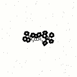 CC1(C)c2cc(-c3cc4c(-c5ccccc5)c(-c5ccccc5)n(-c5ccccc5)c4c4ccccc34)ccc2-c2ccc(N(c3ccccc3)c3cccc4ccccc34)cc21